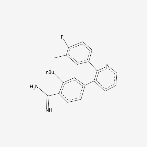 CCCCc1cc(-c2cccnc2-c2ccc(F)c(C)c2)ccc1C(=N)N